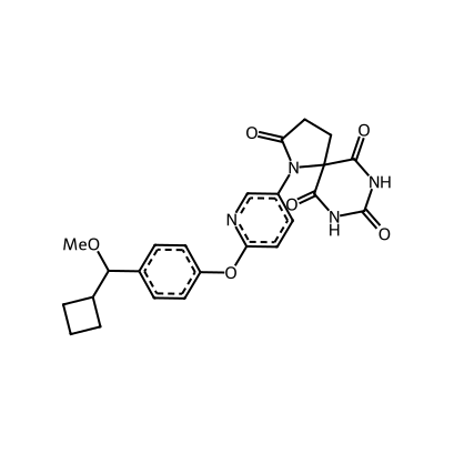 COC(c1ccc(Oc2ccc(N3C(=O)CCC34C(=O)NC(=O)NC4=O)cn2)cc1)C1CCC1